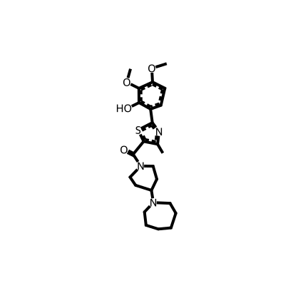 COc1ccc(-c2nc(C)c(C(=O)N3CCC(N4CCCCCC4)CC3)s2)c(O)c1OC